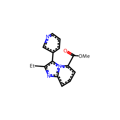 CCc1nc2cccc(C(=O)OC)n2c1-c1cccnc1